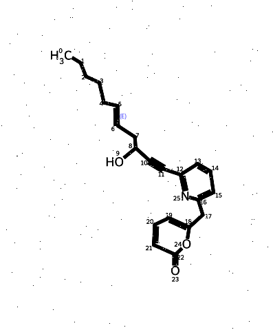 CCCCC/C=C/CC(O)C#Cc1cccc(Cc2cccc(=O)o2)n1